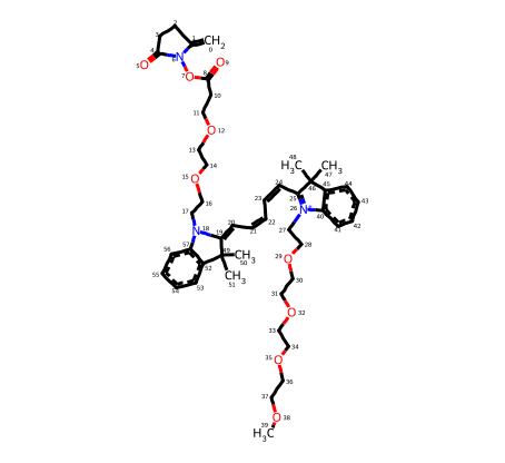 C=C1CCC(=O)N1OC(=O)CCOCCOCCN1/C(=C/C=C\C=C/C2=[N+](CCOCCOCCOCCOC)c3ccccc3C2(C)C)C(C)(C)c2ccccc21